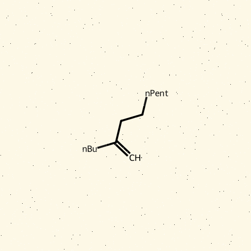 [CH]=C(CCCC)CCCCCCC